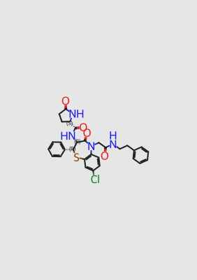 O=C(CN1C(=O)[C@@H](NC(=O)[C@@H]2CCC(=O)N2)[C@@H](c2ccccc2)Sc2cc(Cl)ccc21)NCCc1ccccc1